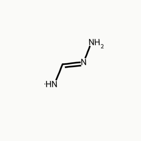 [NH]C=NN